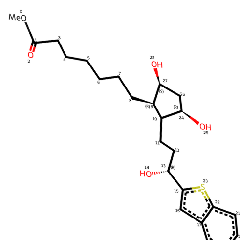 COC(=O)CCCCCC[C@@H]1C(CC[C@@H](O)c2cc3ccccc3s2)[C@H](O)C[C@@H]1O